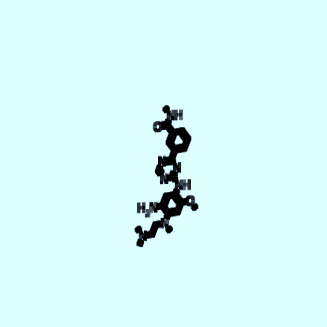 CNC(=O)c1cccc(-c2ncnc(Nc3cc(N)c(N(C)CCN(C)C)cc3OC)n2)c1